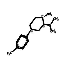 CN(C)[C@H]1C[C@@H](c2ccc(C(F)(F)F)cc2)CC[C@@H]1N